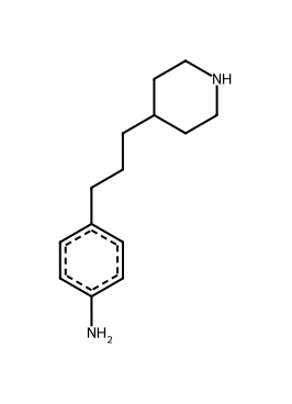 Nc1ccc(CCCC2CCNCC2)cc1